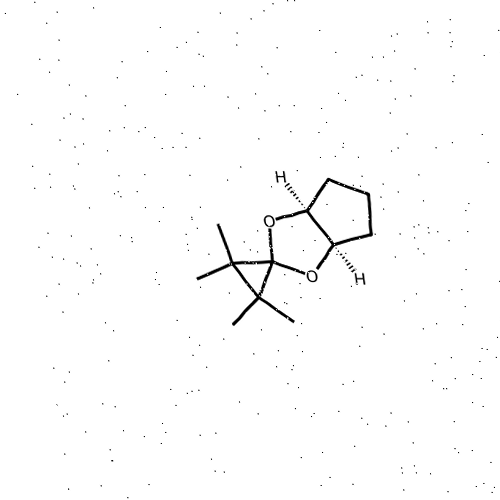 CC1(C)C(C)(C)C12O[C@H]1CCC[C@H]1O2